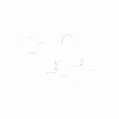 COC(=O)C1=C(C)NC(C)=C(C)C1c1ccccc1OCc1ccccc1